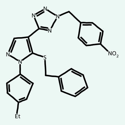 CCc1ccc(-n2ncc(-c3nnn(Cc4ccc([N+](=O)[O-])cc4)n3)c2SCc2ccccc2)cc1